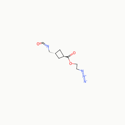 [N-]=[N+]=NCCOC(=O)[C@H]1C[C@H](CN=C=O)C1